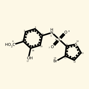 O=C(O)c1ccc(NS(=O)(=O)c2sccc2Br)cc1O